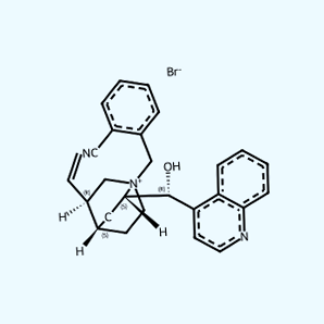 C=C[C@H]1C[N+]2(Cc3ccccc3C#N)CC[C@H]1C[C@H]2[C@H](O)c1ccnc2ccccc12.[Br-]